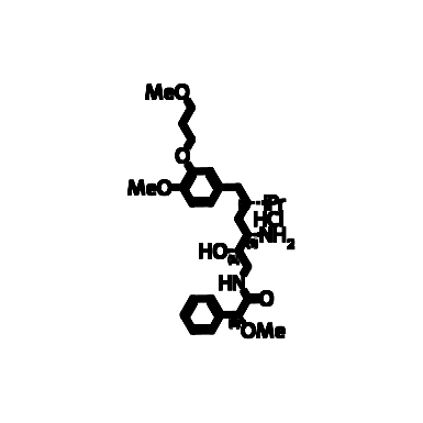 COCCCOc1cc(C[C@@H](C[C@H](N)[C@@H](O)CNC(=O)[C@H](OC)c2ccccc2)C(C)C)ccc1OC.Cl